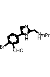 CCCNCc1ncc(-c2ccc(Br)c(C=O)c2)[nH]1